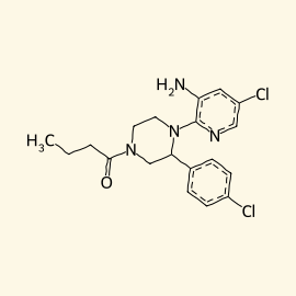 CCCC(=O)N1CCN(c2ncc(Cl)cc2N)C(c2ccc(Cl)cc2)C1